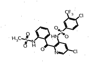 CS(=O)(=O)Nc1ccccc1C(=O)c1ncc(Cl)cc1NS(=O)(=O)c1ccc(Cl)c(C(F)(F)F)c1